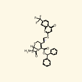 N[C@@H]1C(=O)N2C(C(=O)OC(c3ccccc3)c3ccccc3)=C(/C=C/Sc3cc(=O)c4ccc(C(F)(F)F)cc4s3)CS[C@H]12